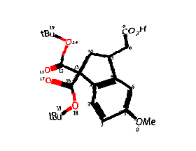 COc1ccc2c(c1)C(CC(=O)O)CC2(C(=O)OC(C)(C)C)C(=O)OC(C)(C)C